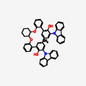 Cc1cc(-c2ccccc2OC2CCCC[C@@H]2Oc2ccccc2-c2cc(C)cc(-n3c4ccccc4c4ccccc43)c2O)c(O)c(-n2c3ccccc3c3ccccc32)c1